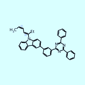 C/C=C\C=C(/CC)n1c2ccccc2c2cc(-c3cccc(-c4nc(-c5ccccc5)nc(-c5ccccc5)n4)c3)ccc21